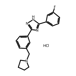 Cl.Fc1cccc(-c2nc(-c3cccc(CN4CCCC4)c3)n[nH]2)c1